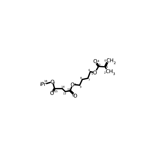 C=C(C)C(=O)OCCCCOC(=O)CCC(=O)OC(C)C